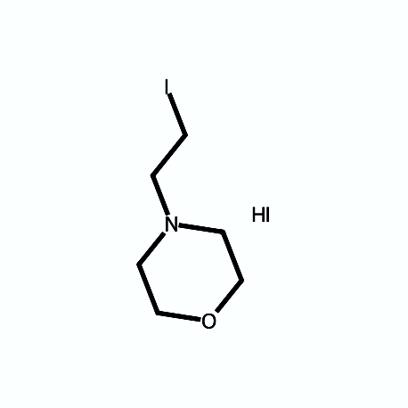 I.ICCN1CCOCC1